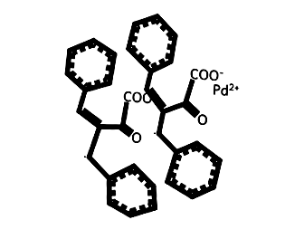 O=C([O-])C(=O)C([CH]c1ccccc1)=Cc1ccccc1.O=C([O-])C(=O)C([CH]c1ccccc1)=Cc1ccccc1.[Pd+2]